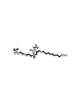 CCCCCCCCCCCCCCCCCCOCC(CS(=O)(=O)CCCCCCOS(C)(=O)=O)OC.CN(C)C